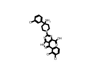 NC1(c2cccc(Cl)c2)CCN(c2nc(C(=O)O)c3c(-c4cccc(Cl)c4Cl)n[nH]c3n2)CC1